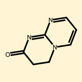 O=C1CCN2C=CC=NC2=N1